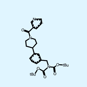 CC(C)(C)OC(=O)N(Cc1cccc(C2CCN(C(=O)c3c[c]cnc3)CC2)c1)C(=O)OC(C)(C)C